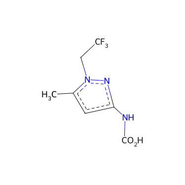 Cc1cc(NC(=O)O)nn1CC(F)(F)F